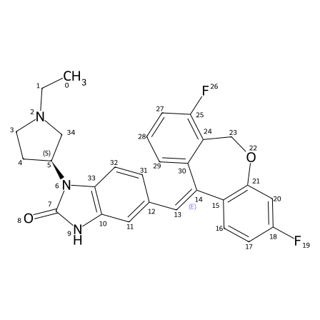 CCN1CC[C@H](n2c(=O)[nH]c3cc(/C=C4/c5ccc(F)cc5OCc5c(F)cccc54)ccc32)C1